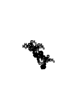 CCCCOc1ccc(C[C@H](NC(=O)OC(C)(C)C)C(=O)N[C@@H](CC(C)C)C(=O)OC)cc1C1=c2[nH]cc(C[C@H](NC(=O)OCc3ccccc3)C(=O)NC)c2=CCC1